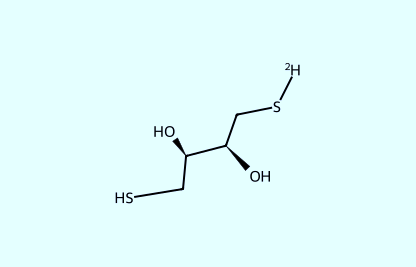 [2H]SC[C@@H](O)[C@H](O)CS